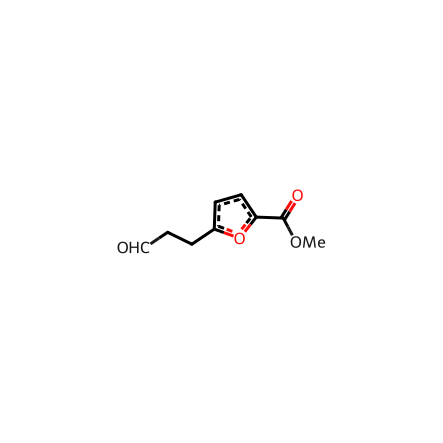 COC(=O)c1ccc(CCC=O)o1